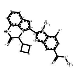 COC(=O)c1cc(F)c2c(c1)nc(-c1cc3cccc4c3n1C(C1CCC1)C(=O)N4)n2C